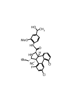 COc1cc(C(C)O)ccc1NC(=O)[C@@H]1N[C@@H](CC(C)(C)C)[C@]2(C#N)c3c(F)cc(Cl)cc3-c3c(Cl)cccc3[C@@H]12